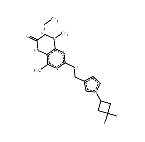 CC[C@H]1C(=O)Nc2c(C)nc(NCc3cnn(C4CC(F)(F)C4)c3)nc2N1C